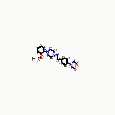 COc1ccccc1N1CCN(CCc2ccc(N3CCOCC3)cc2)CC1